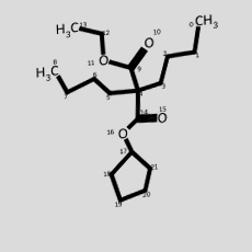 CCCCC(CCCC)(C(=O)OCC)C(=O)OC1CCCC1